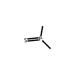 C[P](C)=S